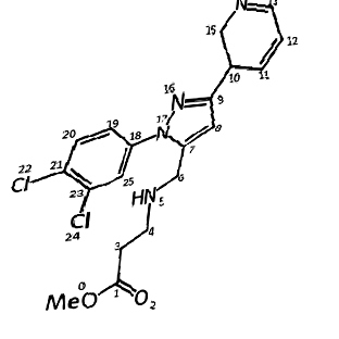 COC(=O)CCNCc1cc(C2C=CC=NC2)nn1-c1ccc(Cl)c(Cl)c1